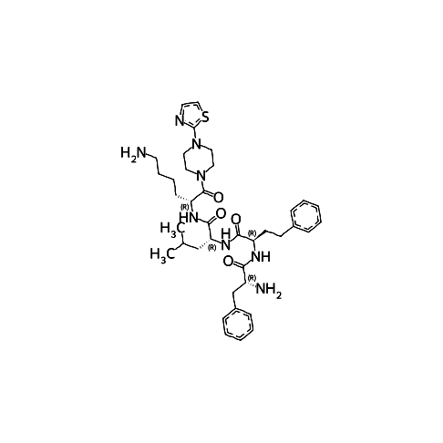 CC(C)C[C@@H](NC(=O)[C@@H](CCc1ccccc1)NC(=O)[C@H](N)Cc1ccccc1)C(=O)N[C@H](CCCCN)C(=O)N1CCN(c2nccs2)CC1